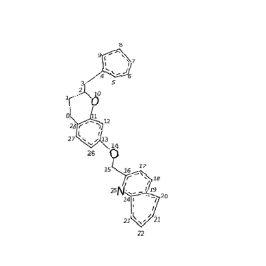 [CH]1CC(Cc2ccccc2)Oc2cc(OCc3ccc4ccccc4n3)ccc21